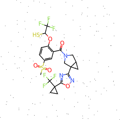 CS(=O)(=O)c1ccc(OC(S)C(F)(F)F)c(C(=O)N2CC3CC3(c3noc(C4(C(F)(F)F)CC4)n3)C2)c1